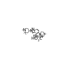 C[C@H]1CC[C@](c2ccc3nn(C4CCN(C)C(C)(C)C4)cc3c2)(C(C)(C)C)N(C(=O)O)C1